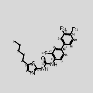 CCCCCc1cnc(NC(=O)Nc2ccc(-c3ccc(F)c(F)c3)cc2F)s1